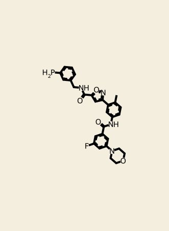 Cc1ccc(NC(=O)c2cc(F)cc(N3CCOCC3)c2)cc1-c1cc(C(=O)NCc2cccc(P)c2)on1